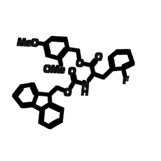 COc1ccc(COC(=O)C(Cc2ccccc2F)NC(=O)OCC2c3ccccc3-c3ccccc32)c(OC)c1